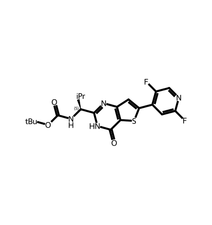 CC(C)[C@H](NC(=O)OC(C)(C)C)c1nc2cc(-c3cc(F)ncc3F)sc2c(=O)[nH]1